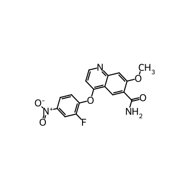 COc1cc2nccc(Oc3ccc([N+](=O)[O-])cc3F)c2cc1C(N)=O